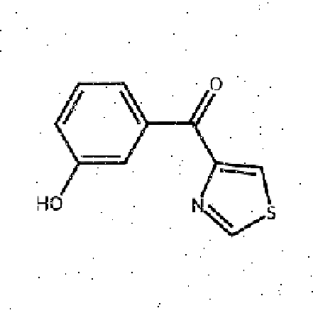 O=C(c1cccc(O)c1)c1cscn1